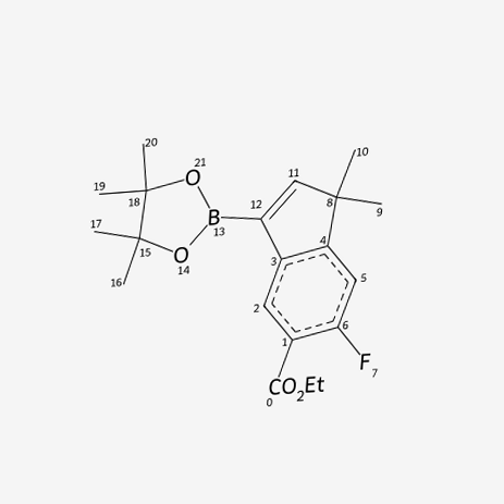 CCOC(=O)c1cc2c(cc1F)C(C)(C)C=C2B1OC(C)(C)C(C)(C)O1